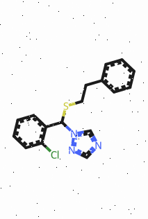 Clc1ccccc1C(SCCc1ccccc1)n1cncn1